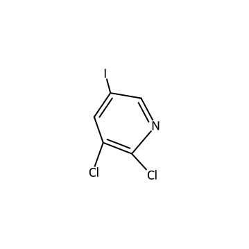 Clc1cc(I)cnc1Cl